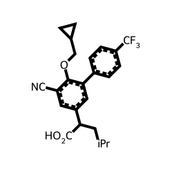 CC(C)CC(C(=O)O)c1cc(C#N)c(OCC2CC2)c(-c2ccc(C(F)(F)F)cc2)c1